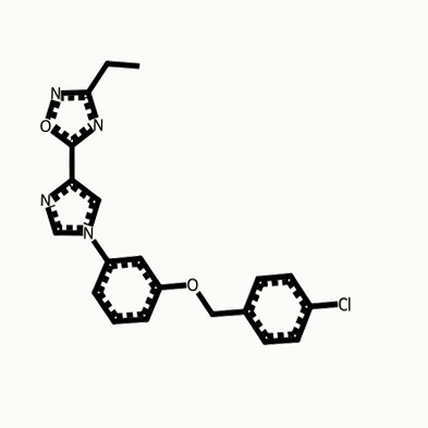 CCc1noc(-c2cn(-c3cccc(OCc4ccc(Cl)cc4)c3)cn2)n1